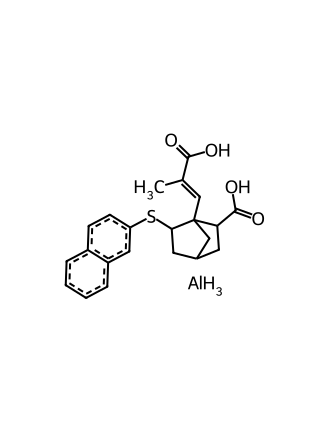 CC(=CC12CC(CC1Sc1ccc3ccccc3c1)CC2C(=O)O)C(=O)O.[AlH3]